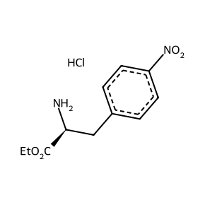 CCOC(=O)[C@@H](N)Cc1ccc([N+](=O)[O-])cc1.Cl